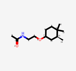 CC(=O)NCCOC1CCC(C)(C)[C@@H](C)C1